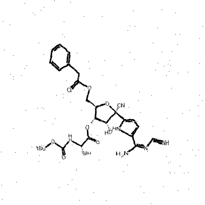 CC(C)(C)OC(=O)N[C@H](C(=O)O[C@H]1[C@@H](O)[C@](C#N)(c2ccc(/C(N)=N\C=N)[nH]2)O[C@@H]1COC(=O)Cc1ccccc1)C(C)(C)C